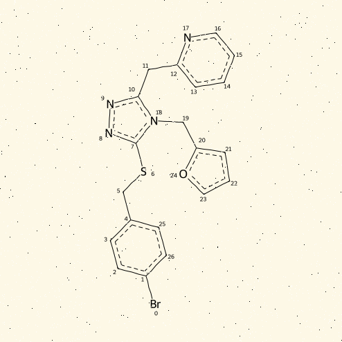 Brc1ccc(CSc2nnc(Cc3ccccn3)n2Cc2ccco2)cc1